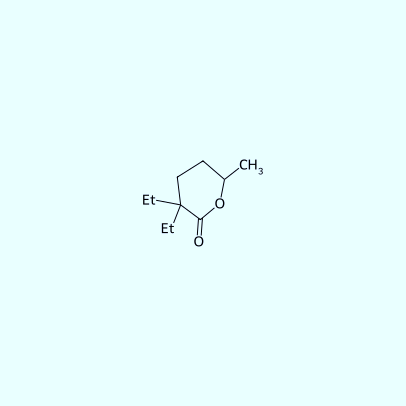 CCC1(CC)CCC(C)OC1=O